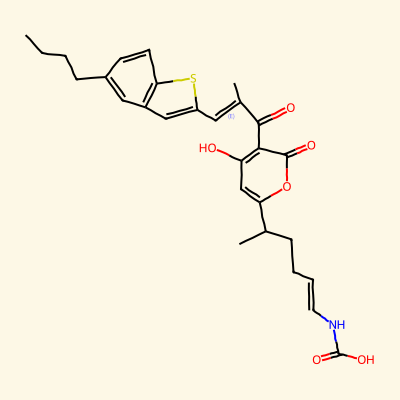 CCCCc1ccc2sc(/C=C(\C)C(=O)c3c(O)cc(C(C)CCC=CNC(=O)O)oc3=O)cc2c1